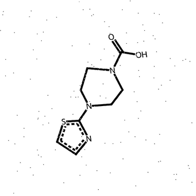 O=C(O)N1CCN(c2nccs2)CC1